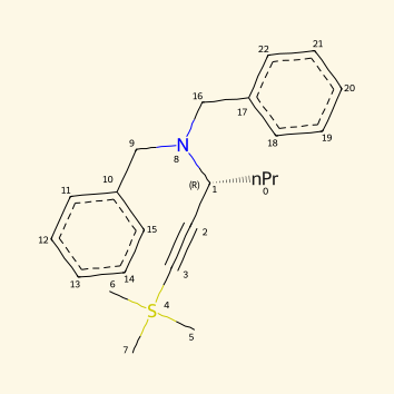 CCC[C@H](C#CS(C)(C)C)N(Cc1ccccc1)Cc1ccccc1